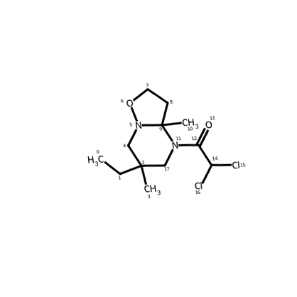 CCC1(C)CN2OCCC2(C)N(C(=O)C(Cl)Cl)C1